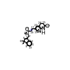 CN(CC1=CC(C)(C)c2ccccc21)C(=O)/C=C/c1cnc2c(c1)CCC(=O)N2